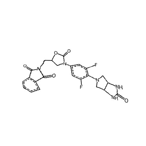 O=C1NC2CN(c3c(F)cc(N4CC(CN5C(=O)c6ccccc6C5=O)OC4=O)cc3F)CC2N1